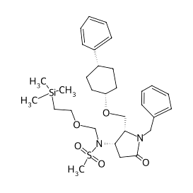 C[Si](C)(C)CCOCN([C@H]1CC(=O)N(Cc2ccccc2)[C@H]1CO[C@H]1CC[C@@H](c2ccccc2)CC1)S(C)(=O)=O